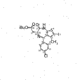 Cc1c(I)sc2c1C(c1ccc(Cl)cc1)=N[C@@H](CC(=O)OCC(C)C)C(=O)N2